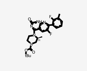 Cc1cccc(-c2nc3[nH]c(=O)nc(N4CCN(C(=O)OC(C)(C)C)C[C@@H]4C)c3cc2F)c1F